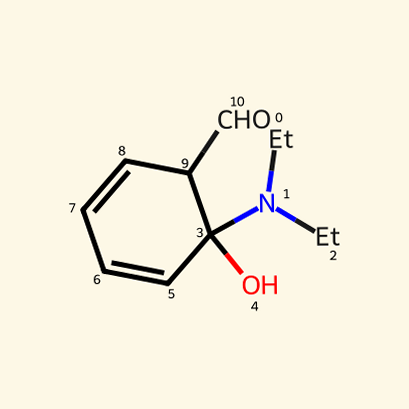 CCN(CC)C1(O)C=CC=CC1C=O